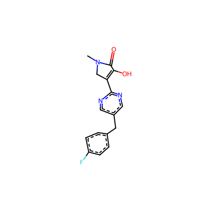 CN1CC(c2ncc(Cc3ccc(F)cc3)cn2)=C(O)C1=O